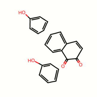 O=C1C=Cc2ccccc2C1=O.Oc1ccccc1.Oc1ccccc1